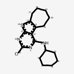 Clc1nc(NC2CCCCC2)c2c3c(sc2n1)CCCCC3